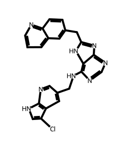 Clc1c[nH]c2ncc(CNc3ncnc4nc(Cc5ccc6ncccc6c5)[nH]c34)cc12